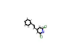 Clc1cc(C=Cc2ccccc2)cc(Cl)n1